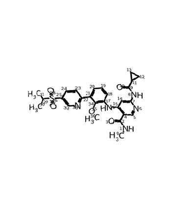 CNC(=O)c1cnc(NC(=O)C2CC2)cc1Nc1cccc(-c2ccc(S(=O)(=O)C(C)C)cn2)c1OC